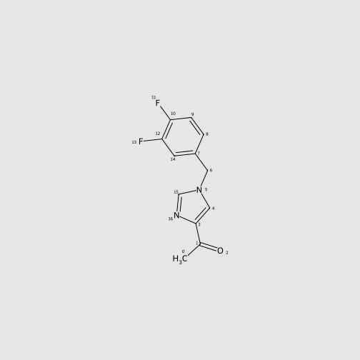 CC(=O)c1cn(Cc2ccc(F)c(F)c2)cn1